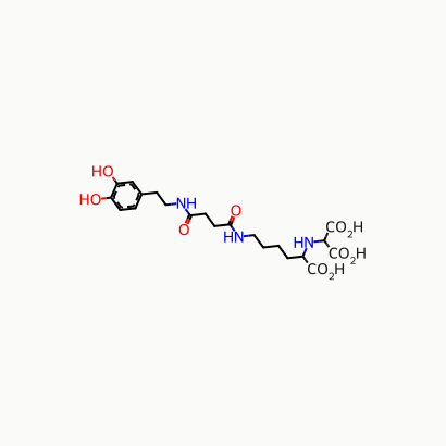 O=C(CCC(=O)NCCc1ccc(O)c(O)c1)NCCCCC(NC(C(=O)O)C(=O)O)C(=O)O